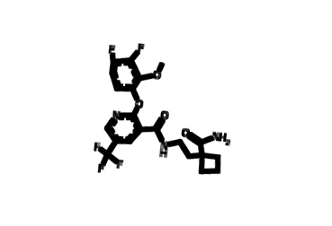 COc1c(Oc2ncc(C(F)(F)F)cc2C(=O)NCCC2(C(N)=O)CCC2)ccc(F)c1F